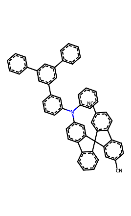 N#Cc1ccc2c(c1)C1(c3ccccc3-c3ccc(N(c4ccccc4)c4cccc(-c5cc(-c6ccccc6)cc(-c6ccccc6)c5)c4)cc31)c1cc(C#N)ccc1-2